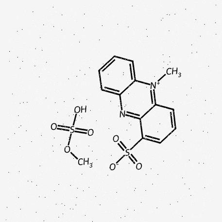 COS(=O)(=O)O.C[n+]1c2ccccc2nc2c(S(=O)(=O)[O-])cccc21